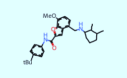 COc1ccc(CNC2CCCC(C)C2C)c2cc(C(=O)Nc3ccc(C(C)(C)C)cc3)oc12